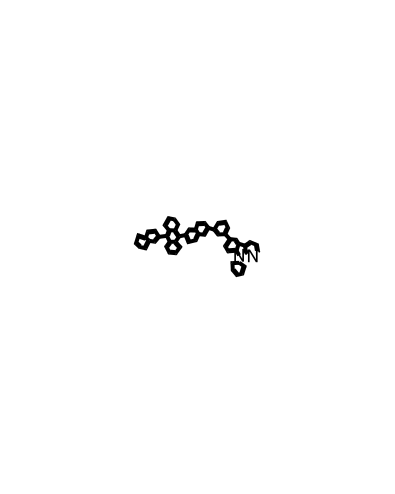 C1=CCC(n2c3ccc(-c4cccc(-c5ccc6cc(-c7c8c(c(-c9ccc%10ccccc%10c9)c9ccccc79)C=CCC8)ccc6c5)c4)cc3c3cccnc32)C=C1